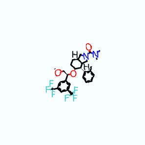 COC[C@@H](O[C@H]1CC[C@@H]2CN(C(=O)N(C)C)C[C@H]2[C@@H]1c1ccccc1C)c1cc(C(F)(F)F)cc(C(F)(F)F)c1